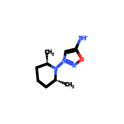 C[C@@H]1CCC[C@H](C)N1[n+]1cc([NH-])on1